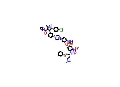 Cc1c(C(=O)N2CCC2)c(-c2cccc(N3CCN(c4ccc(NS(=O)(=O)c5ccc(N[C@H](CCN(C)C)CSc6ccccc6)c([N+](=O)[O-])c5)cc4)CC3)c2)c(-c2ccc(Cl)cc2)n1C